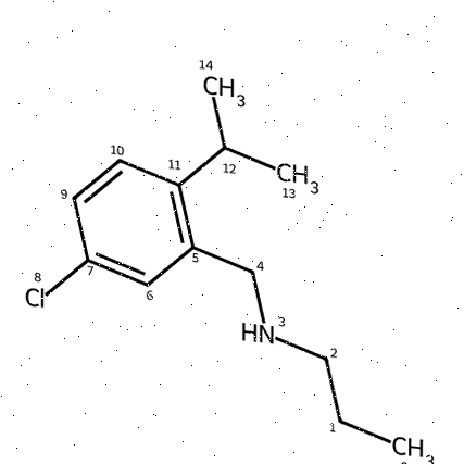 CCCNCc1cc(Cl)ccc1C(C)C